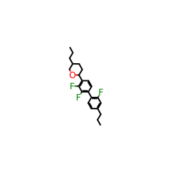 CCCc1ccc(-c2ccc(C3CCC(CCC)CO3)c(F)c2F)c(F)c1